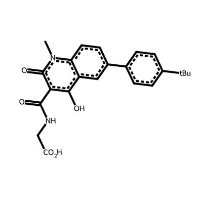 Cn1c(=O)c(C(=O)NCC(=O)O)c(O)c2cc(-c3ccc(C(C)(C)C)cc3)ccc21